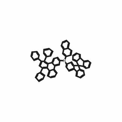 c1ccc(-c2cc(-c3ccccc3)c3c4ccccc4c4cc(N(c5ccc6c(c5)C5(c7ccccc7-c7ccccc75)c5ccccc5-6)c5ccc6ccccc6c5)ccc4c3c2-c2ccccc2)cc1